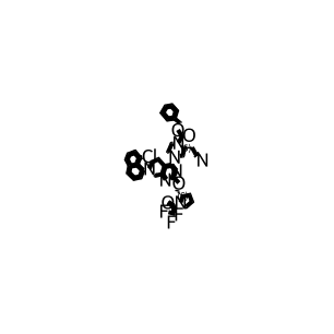 N#CC[C@H]1CN(c2nc(OC[C@@H]3CCCN3C(=O)C(F)(F)F)nc3c2CCN(c2cccc4cccc(Cl)c24)C3)CCN1C(=O)OCc1ccccc1